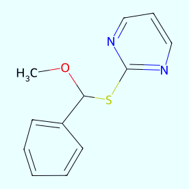 COC(Sc1ncccn1)c1ccccc1